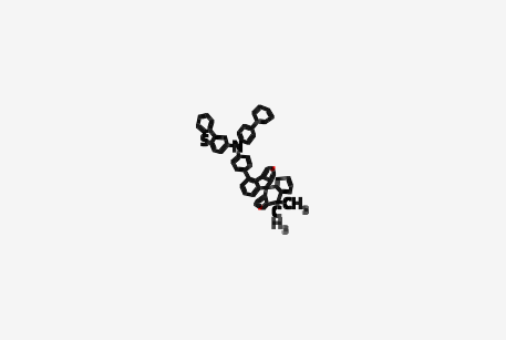 CC1(C)c2ccccc2C2(c3ccccc3-c3c(-c4ccc(N(c5ccc(-c6ccccc6)cc5)c5ccc6sc7ccccc7c6c5)cc4)cccc32)c2ccccc21